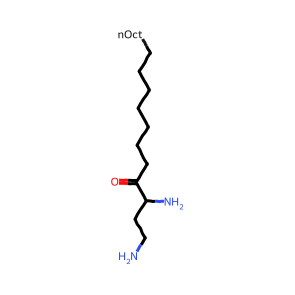 CCCCCCCCCCCCCCCC(=O)C(N)CCN